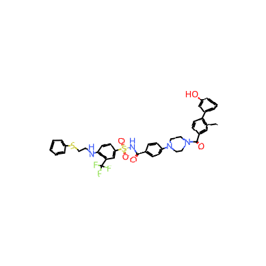 Cc1cc(C(=O)N2CCN(c3ccc(C(=O)NS(=O)(=O)c4ccc(NCCSc5ccccc5)c(C(F)(F)F)c4)cc3)CC2)ccc1-c1cccc(O)c1